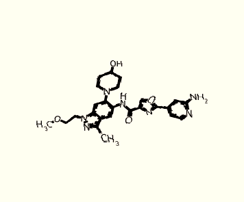 COCCn1nc(C)c2cc(NC(=O)c3coc(-c4ccnc(N)c4)n3)c(N3CCC(O)CC3)cc21